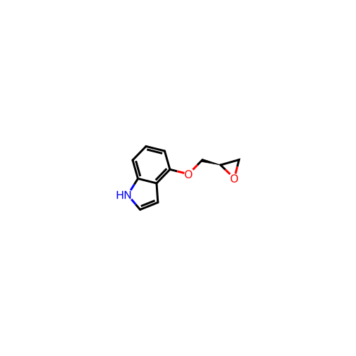 c1cc(OC[C@H]2CO2)c2cc[nH]c2c1